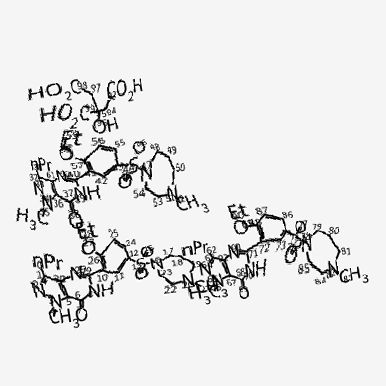 CCCc1nn(C)c2c(=O)[nH]c(-c3cc(S(=O)(=O)N4CCCN(C)CC4)ccc3OCC)nc12.CCCc1nn(C)c2c(=O)[nH]c(-c3cc(S(=O)(=O)N4CCCN(C)CC4)ccc3OCC)nc12.CCCc1nn(C)c2c(=O)[nH]c(-c3cc(S(=O)(=O)N4CCCN(C)CC4)ccc3OCC)nc12.O=C(O)CC(O)(CC(=O)O)C(=O)O